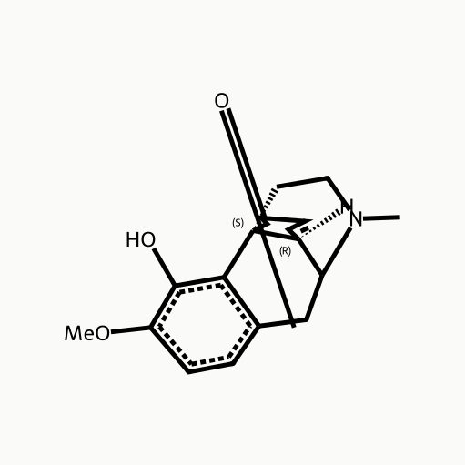 COc1ccc2c(c1O)[C@]13CCN(C)C(C2)[C@@H]1C=CC(=O)C3